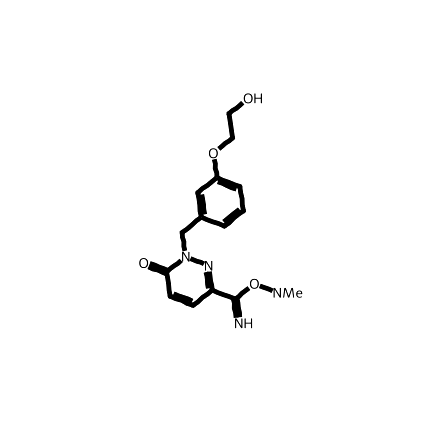 CNOC(=N)c1ccc(=O)n(Cc2cccc(OCCO)c2)n1